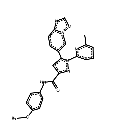 Cc1cccc(-n2nc(C(=O)Nc3ccc(OC(C)C)cc3)cc2-c2ccc3ncnn3c2)n1